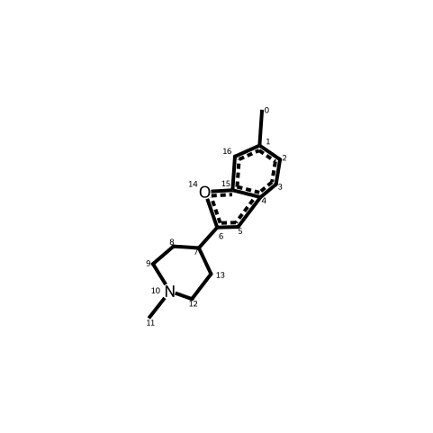 Cc1ccc2cc(C3CCN(C)CC3)oc2c1